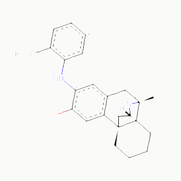 O=C(O)c1ccccc1Nc1cc2c(cc1O)[C@@]13CCCC[C@H]1[C@@H](C2)NCC3